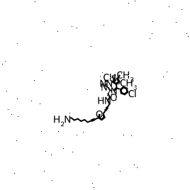 Cc1sc2c(c1C)C(c1ccc(Cl)cc1)=N[C@@H](CC(=O)NCC#Cc1ccc(C#CCCCCCCN)o1)c1nnc(C)n1-2